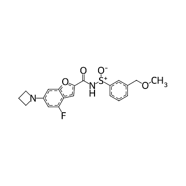 COCc1cccc([S+]([O-])NC(=O)c2cc3c(F)cc(N4CCC4)cc3o2)c1